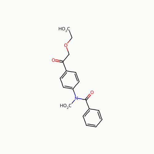 O=C(O)COCC(=O)c1ccc(N(C(=O)O)C(=O)c2ccccc2)cc1